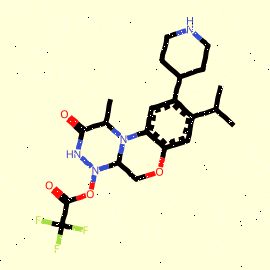 CC(C)c1cc2c(cc1C1CCNCC1)N1C(C)C(=O)NN(OC(=O)C(F)(F)F)C1CO2